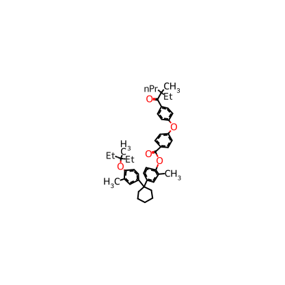 CCCC(C)(CC)C(=O)c1ccc(Oc2ccc(C(=O)Oc3ccc(C4(c5ccc(OC(C)(CC)CC)c(C)c5)CCCCC4)cc3C)cc2)cc1